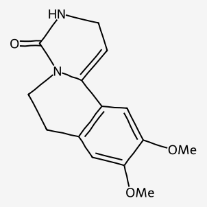 COc1cc2c(cc1OC)C1=CCNC(=O)N1CC2